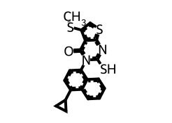 CSc1csc2nc(S)n(-c3ccc(C4CC4)c4ccccc34)c(=O)c12